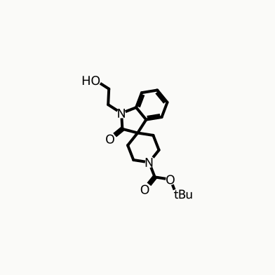 CC(C)(C)OC(=O)N1CCC2(CC1)C(=O)N(CCO)c1ccccc12